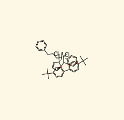 [CH2]=[Hf]([Cl])([Cl])([CH2]CCc1ccccc1)([c]1ccccc1)([CH]1C=CC=C1)[CH]1c2cc(C(C)(C)C)ccc2-c2ccc(C(C)(C)C)cc21